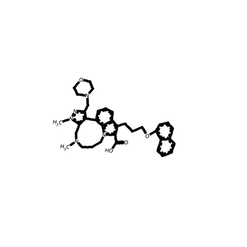 CN1CCCn2c(C(=O)O)c(CCCOc3cccc4ccccc34)c3cccc(c32)-c2c(CN3CCOCC3)nn(C)c2C1